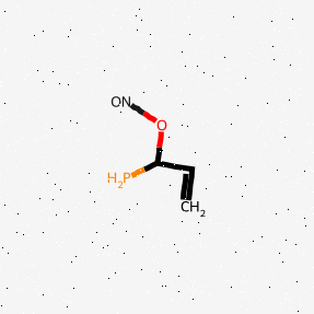 C=CC(P)ON=O